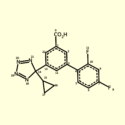 O=C(O)c1cc(-c2ccc(F)cc2F)cc(C2(C3CC3)N=NN=N2)c1